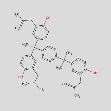 C=C(C)Cc1cc(C(C)(C)c2ccc([C@](C)(c3ccc(O)c(CC(=C)C)c3)c3ccc(O)c(CC(C)C)c3)cc2)ccc1O